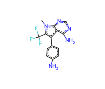 Cn1c(C(F)(F)F)c(-c2ccc(N)cc2)c2c(N)ncnc21